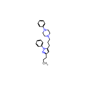 CCCc1cc(CCCN2CCN(c3ccccc3)CC2)n(-c2ccccc2)n1